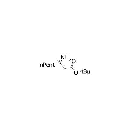 CCCCC[C@H](N)CC(=O)OC(C)(C)C